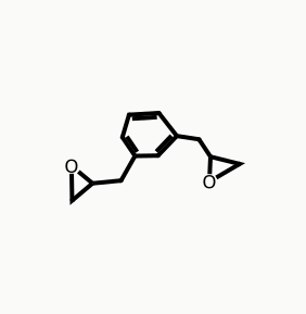 c1cc(CC2CO2)cc(CC2CO2)c1